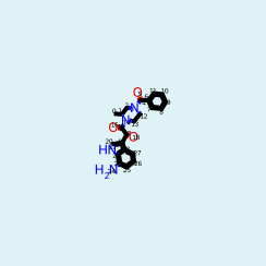 CC1CN(C(=O)c2ccccc2)CCN1C(=O)C(=O)c1c[nH]c2c(N)cccc12